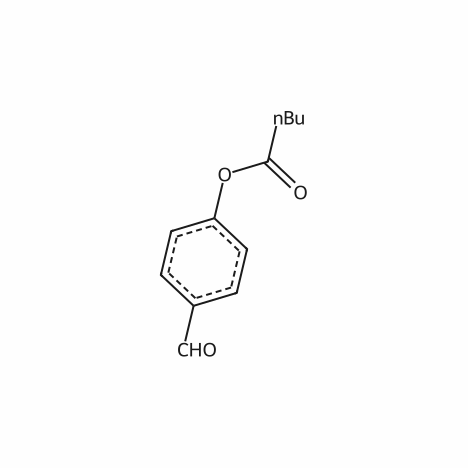 [CH2]CCCC(=O)Oc1ccc(C=O)cc1